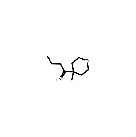 CCCC(=N)C1(C)CCOCC1